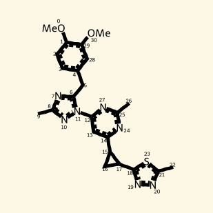 COc1ccc(Cc2nc(C)nn2-c2cc(C3CC3c3nnc(C)s3)nc(C)n2)cc1OC